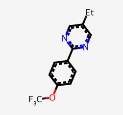 CCc1cnc(-c2ccc(OC(F)(F)F)cc2)nc1